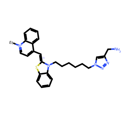 CC[n+]1ccc(/C=C2\Sc3ccccc3N2CCCCCCn2cc(CN)nn2)c2ccccc21